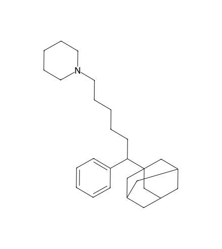 c1ccc(C(CCCCCN2CCCCC2)C23CC4CC(CC(C4)C2)C3)cc1